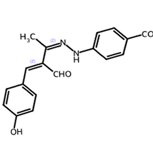 CC(=N/Nc1ccc(C(=O)O)cc1)/C(C=O)=C/c1ccc(O)cc1